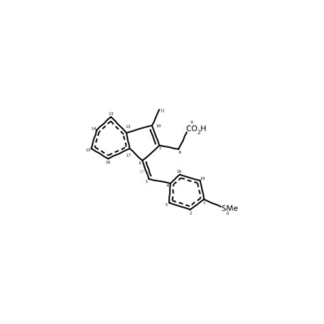 CSc1ccc(/C=C2\C(CC(=O)O)=C(C)c3ccccc32)cc1